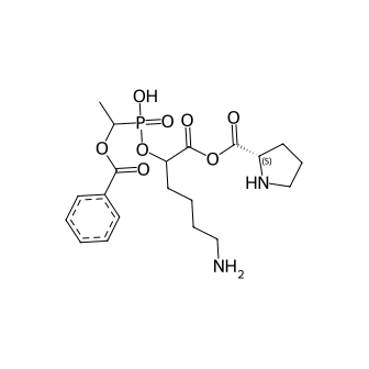 CC(OC(=O)c1ccccc1)P(=O)(O)OC(CCCCN)C(=O)OC(=O)[C@@H]1CCCN1